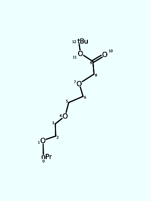 CCCOCCOCCOCC(=O)OC(C)(C)C